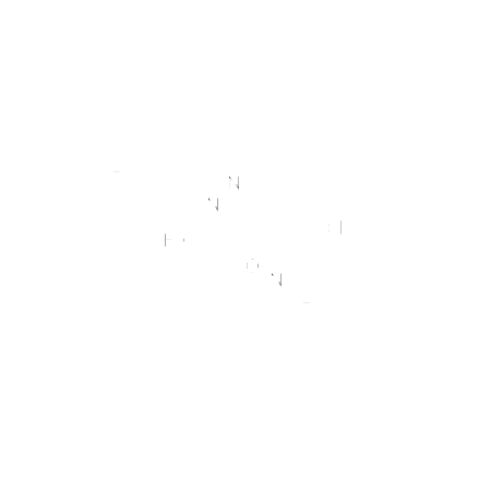 Fc1ccc(-n2ncc(-c3cc(-c4c(F)cccc4Cl)no3)c2CC(F)(F)F)cc1